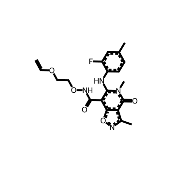 C=COCCONC(=O)c1c(Nc2ccc(C)cc2F)n(C)c(=O)c2c(C)noc12